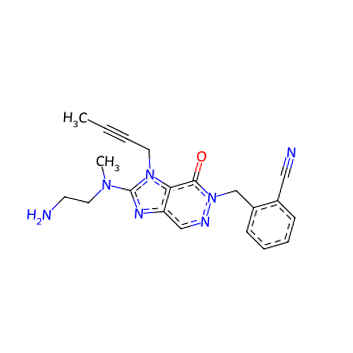 CC#CCn1c(N(C)CCN)nc2cnn(Cc3ccccc3C#N)c(=O)c21